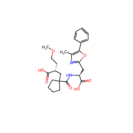 COCC[C@H](CC1(C(=O)N[C@@H](Cc2nc(C)c(-c3ccccc3)o2)C(=O)O)CCCC1)C(=O)O